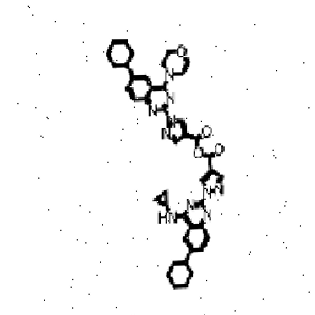 O=C(OC(=O)c1cnn(-c2nc(N3CCOCC3)c3cc(C4CCCCC4)ccc3n2)c1)c1cnn(-c2nc(NC3CC3)c3cc(C4CCCCC4)ccc3n2)c1